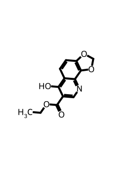 CCOC(=O)c1cnc2c3c(ccc2c1O)OCO3